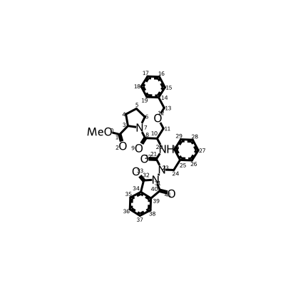 COC(=O)C1CCCN1C(=O)C(COCc1ccccc1)NC(=O)N(Cc1ccccc1)N1C(=O)c2ccccc2C1=O